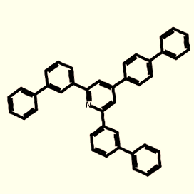 c1ccc(-c2ccc(-c3cc(-c4cccc(-c5ccccc5)c4)nc(-c4cccc(-c5ccccc5)c4)c3)cc2)cc1